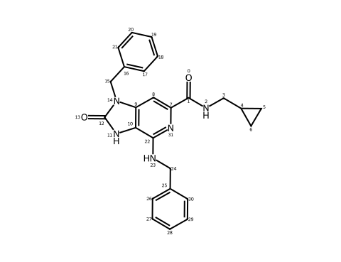 O=C(NCC1CC1)c1cc2c([nH]c(=O)n2Cc2ccccc2)c(NCc2ccccc2)n1